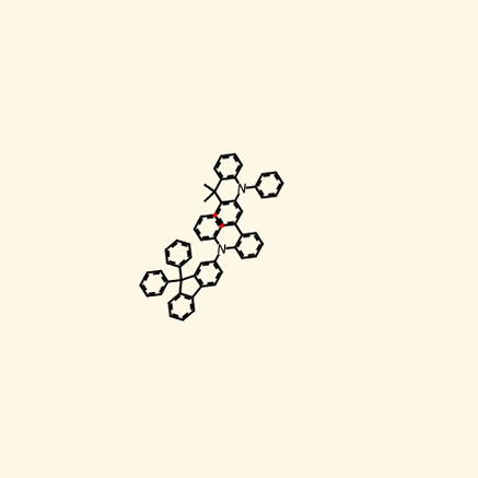 CC1(C)c2ccccc2N(c2ccccc2)c2cc(-c3ccccc3N(c3ccccc3)c3ccc4c(c3)C(c3ccccc3)(c3ccccc3)c3ccccc3-4)ccc21